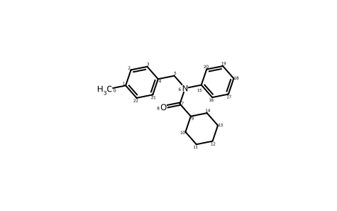 Cc1ccc(CN(C(=O)C2CCCCC2)c2ccccc2)cc1